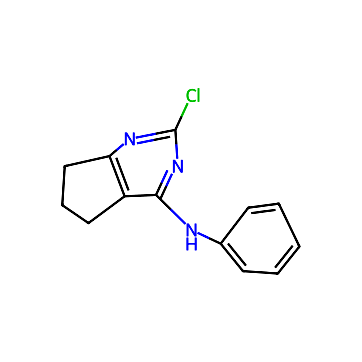 Clc1nc2c(c(Nc3ccccc3)n1)CCC2